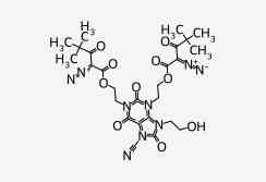 CC(C)(C)C(=O)C(=[N+]=[N-])C(=O)OCCn1c(=O)c2c(n(CCOC(=O)C(=[N+]=[N-])C(=O)C(C)(C)C)c1=O)n(CCO)c(=O)n2C#N